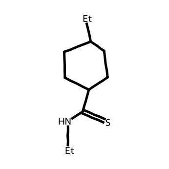 CCNC(=S)C1CCC(CC)CC1